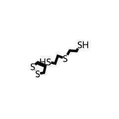 C1=CSSC1.SCCSCCS